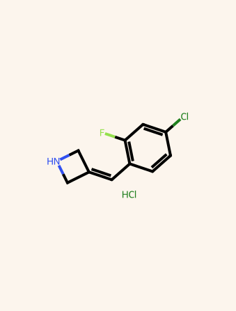 Cl.Fc1cc(Cl)ccc1C=C1CNC1